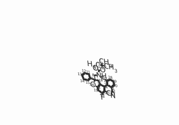 CC(C)(C)OC(=O)NC[C@@]1(c2ccccc2)Cc2c(cc(F)c(Cl)c2-c2c(F)cccc2C#N)O1